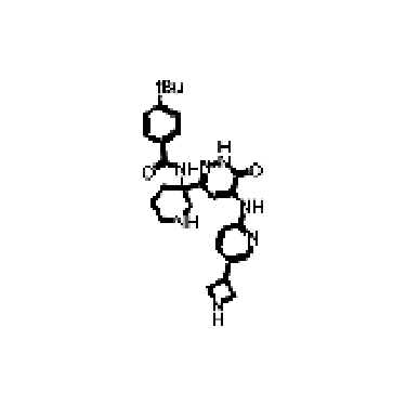 CC(C)(C)c1ccc(C(=O)N[C@]2(c3cc(Nc4ccc(C5CNC5)cn4)c(=O)[nH]n3)CCCNC2)cc1